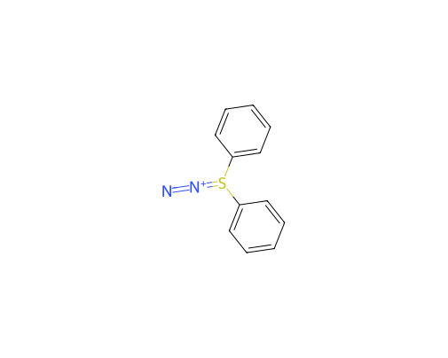 [N-]=[N+]=S(c1ccccc1)c1ccccc1